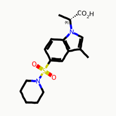 Cc1cn([C@H](C)C(=O)O)c2ccc(S(=O)(=O)N3CCCCC3)cc12